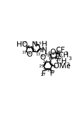 COc1c([C@H]2[C@H](C(=O)Nc3cnc4c(c3)OC[C@@H]4O)O[C@@](C)(C(F)(F)F)[C@H]2C)ccc(F)c1F